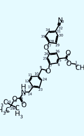 CCOC(=O)c1cc(OCc2ccc(CNC(=O)OC(C)(C)C)cc2)cc(Oc2ccc(C#N)cc2)c1